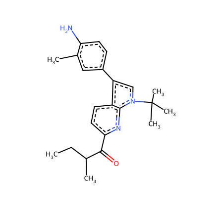 CCC(C)C(=O)c1ccc2c(-c3ccc(N)c(C)c3)cn(C(C)(C)C)c2n1